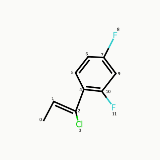 CC=C(Cl)c1ccc(F)cc1F